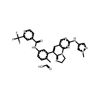 Cc1ccc(NC(=O)c2ccnc(C(F)(F)F)c2)cc1C1=Cc2cnc(Nc3cnn(C)c3)nc2N2CCN=C12.O=CO